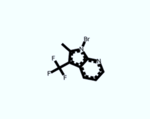 Cc1c(C(F)(F)F)c2cccnc2n1Br